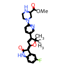 COC(=O)C1CN(c2ccc(C3=C/C(=C4\C(=O)Nc5ccc(F)cc54)OC3(C)C)cn2)CCN1